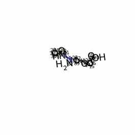 C=C/C(=C\C=C(/N)N1CCC(COc2cccc(C(=O)O)c2)CC1)NC(=O)C1CCCCC1